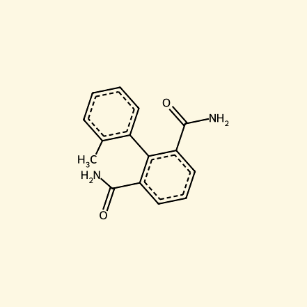 Cc1ccccc1-c1c(C(N)=O)cccc1C(N)=O